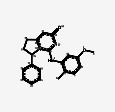 COc1ccc(C)c(Nc2nc(=O)cc3n2C(c2ccccc2)CC3)c1